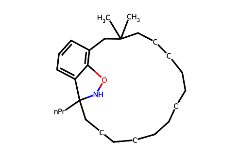 CCCC12CCCCCCCCCCCCC(C)(C)Cc3cccc1c3ON2